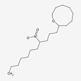 [CH2]CCCCCCC(CCC[C]1CCCCCCCO1)[N+](=O)[O-]